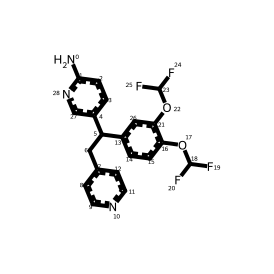 Nc1ccc(C(Cc2ccncc2)c2ccc(OC(F)F)c(OC(F)F)c2)cn1